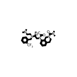 CN(C)CCN(Cc1ccccc1C(F)(F)F)C(=O)CN(C(=O)C(F)(F)F)c1cccc2c1CN(C(=O)N(C)C)CC2